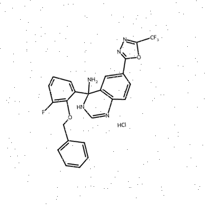 Cl.NC1(c2cccc(F)c2OCc2ccccc2)NC=Nc2ccc(-c3nnc(C(F)(F)F)o3)cc21